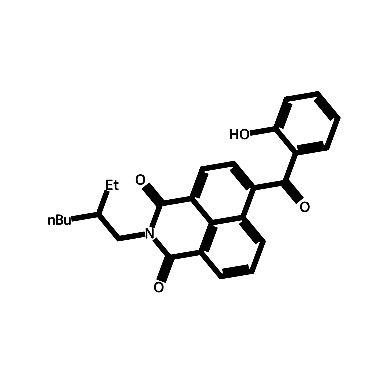 CCCCC(CC)CN1C(=O)c2cccc3c(C(=O)c4ccccc4O)ccc(c23)C1=O